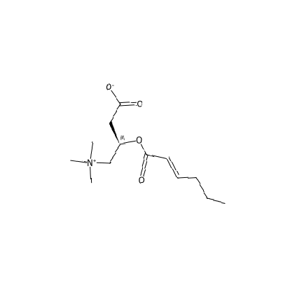 CCCC=CC(=O)O[C@H](CC(=O)[O-])C[N+](C)(C)C